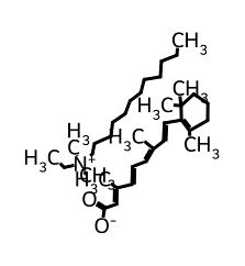 CC1=C(/C=C/C(C)=C/C=C/C(C)=C/C(=O)[O-])C(C)(C)CCC1.CCCCCCCCCCCC[N+](C)(C)CC